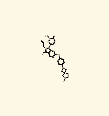 C=CCn1c(=O)c2cnc(Nc3ccc(N4CC5(CCN(C)C5)C4)cc3)nc2n1-c1ccc(=O)n(C(C)C)n1